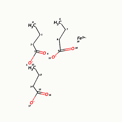 CCCC(=O)[O-].CCCC(=O)[O-].CCCC(=O)[O-].[Fe+3]